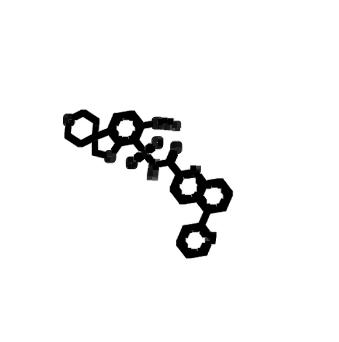 COc1ccc2c(c1S(=O)(=O)NC(=O)c1ccc3c(-c4ccccn4)cccc3n1)OCC21CCOCC1